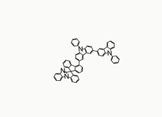 c1ccc(-n2c3ccccc3c3cc(-c4ccc5c(c4)c4cc(-c6cccc7c6-c6ccccc6C76c7ccccc7-n7c6nc6ccccc67)ccc4n5-c4ccccc4)ccc32)cc1